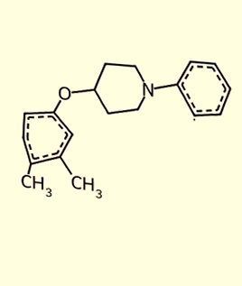 Cc1ccc(OC2CCN(c3[c]cccc3)CC2)cc1C